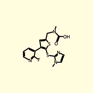 CN(Cc1cc(-c2cccnc2F)c(Sc2nccn2C)s1)C(=O)O